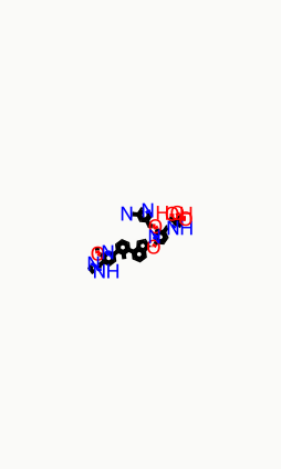 COc1nc(-c2cccc(-c3cccc4c3CC[C@@H]4Oc3ccc(CNC(C)(CO)C(=O)O)c(OCc4cncc(C#N)c4)n3)c2C)ccc1C1=NCCN1